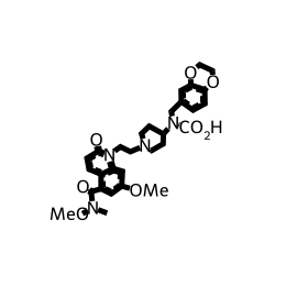 COc1cc(C(=O)N(C)OC)c2ccc(=O)n(CCN3CCC(N(Cc4ccc5c(c4)OCCO5)C(=O)O)CC3)c2c1